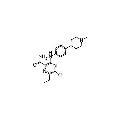 CCc1nc(C(N)=O)c(Nc2ccc(C3CCN(C)CC3)cc2)nc1Cl